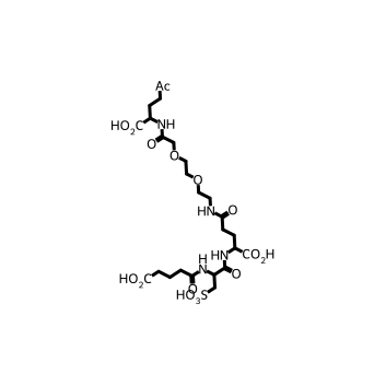 CC(=O)CCC(NC(=O)COCCOCCNC(=O)CCC(NC(=O)C(CS(=O)(=O)O)NC(=O)CCCC(=O)O)C(=O)O)C(=O)O